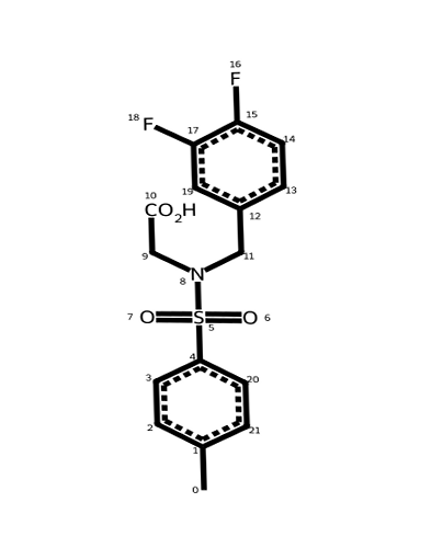 Cc1ccc(S(=O)(=O)N(CC(=O)O)Cc2ccc(F)c(F)c2)cc1